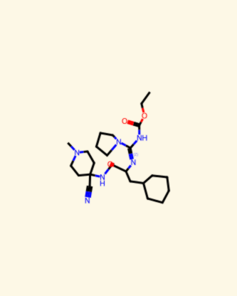 CCOC(=O)N/C(=N/C(CC1CCCCC1)C(=O)NC1(C#N)CCN(C)CC1)N1CCCC1